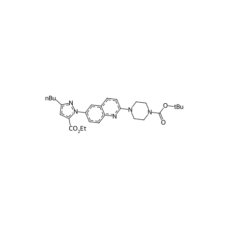 CCCCc1cc(C(=O)OCC)n(-c2ccc3nc(N4CCN(C(=O)OC(C)(C)C)CC4)ccc3c2)n1